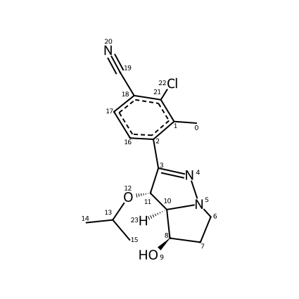 Cc1c(C2=NN3CC[C@@H](O)[C@H]3[C@@H]2OC(C)C)ccc(C#N)c1Cl